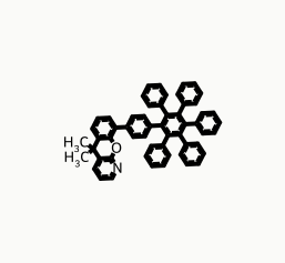 CC1(C)c2cccnc2Oc2c(-c3ccc(-c4c(-c5ccccc5)c(-c5ccccc5)c(-c5ccccc5)c(-c5ccccc5)c4-c4ccccc4)cc3)cccc21